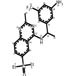 CCP(=O)(CC)c1ccc2nc(C)nc(NC(C)c3cc(N)cc(C(F)(F)F)c3)c2c1